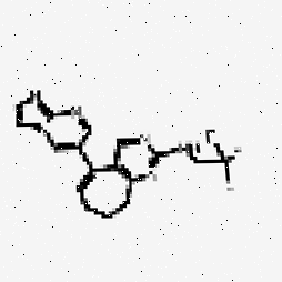 FC(F)(F)CNc1ncc2c(n1)CCCC=C2c1cnc2nccn2c1